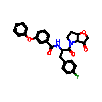 O=C(NC(Cc1ccc(F)cc1)C(=O)N1CCC2OCC(=O)C21)c1cccc(Oc2ccccc2)c1